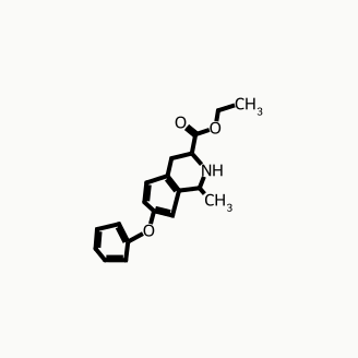 CCOC(=O)C1Cc2ccc(Oc3ccccc3)cc2C(C)N1